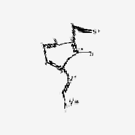 CNC=Nc1cccc(C=S)c1C